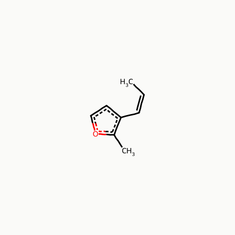 C/C=C\c1ccoc1C